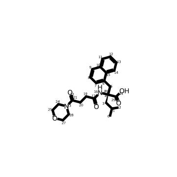 CC(C)C[C@](Cc1cccc2ccccc12)(NC(=O)CCC(=O)N1CCOCC1)C(=O)O